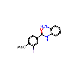 COc1ccc(C(=O)Nc2ccccc2N)cc1I